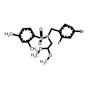 COC(CN(Cc1ccc(Br)cc1F)S(=O)(=O)c1ccc(C)cc1C)OC